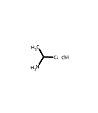 CC(N)Cl.Cl